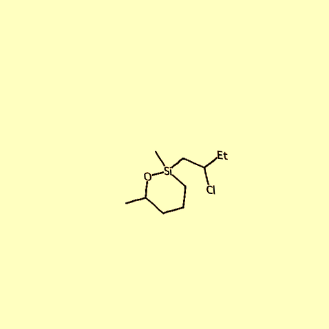 CCC(Cl)C[Si]1(C)CCCC(C)O1